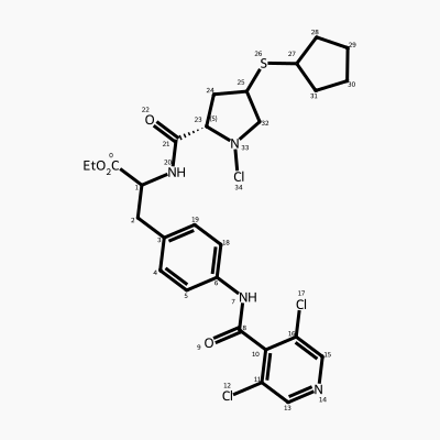 CCOC(=O)C(Cc1ccc(NC(=O)c2c(Cl)cncc2Cl)cc1)NC(=O)[C@@H]1CC(SC2CCCC2)CN1Cl